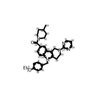 CCOc1ccc(Cn2c3c(c4cc(C(=O)N5CCC(C)CC5)ccc42)CN(c2ncccn2)CC3)cc1